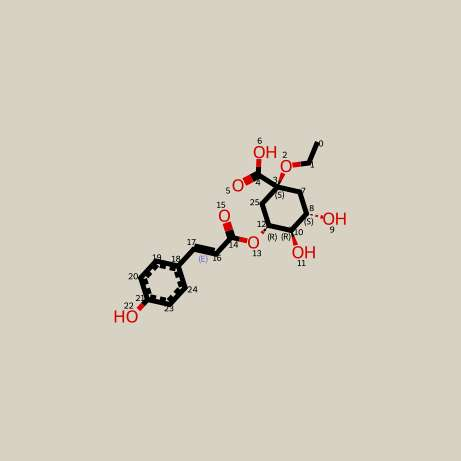 CCO[C@@]1(C(=O)O)C[C@H](O)[C@@H](O)[C@H](OC(=O)/C=C/c2ccc(O)cc2)C1